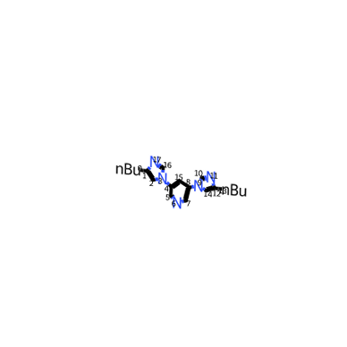 CCCCc1cn(-c2cncc(-n3cnc(CCCC)c3)c2)cn1